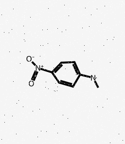 C[N]c1ccc([N+](=O)[O-])cc1